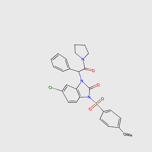 COc1ccc(S(=O)(=O)n2c(=O)n(C(C(=O)N3CCCC3)c3ccccc3)c3cc(Cl)ccc32)cc1